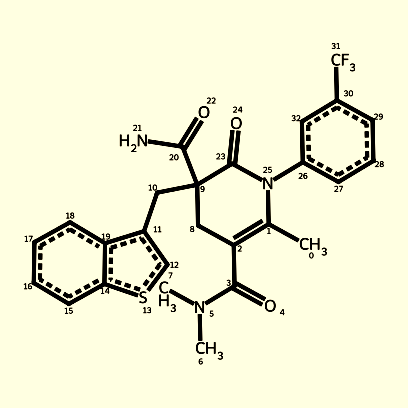 CC1=C(C(=O)N(C)C)CC(Cc2csc3ccccc23)(C(N)=O)C(=O)N1c1cccc(C(F)(F)F)c1